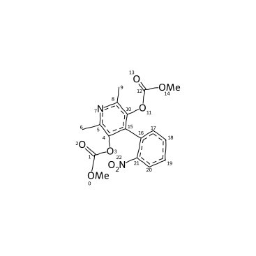 COC(=O)Oc1c(C)nc(C)c(OC(=O)OC)c1-c1ccccc1[N+](=O)[O-]